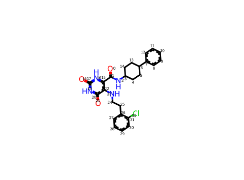 O=C(NC1CCC(c2ccccc2)CC1)c1[nH]c(=O)[nH]c(=O)c1NCCc1ccccc1Cl